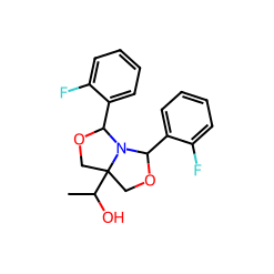 CC(O)C12COC(c3ccccc3F)N1C(c1ccccc1F)OC2